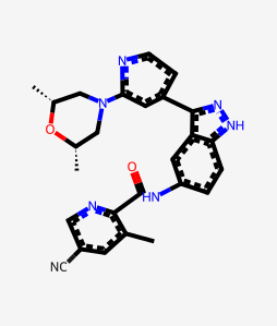 Cc1cc(C#N)cnc1C(=O)Nc1ccc2[nH]nc(-c3ccnc(N4C[C@@H](C)O[C@@H](C)C4)c3)c2c1